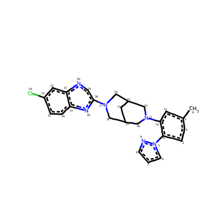 Cc1c[c]c(-n2cccn2)c(N2CC3CC(CN(c4cnc5cc(Cl)ccc5n4)C3)C2)c1